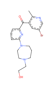 Cc1ncc(Br)cc1C(=O)c1cccc(N2CCCN(CCO)CC2)n1